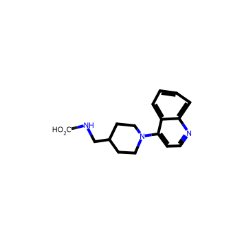 O=C(O)NCC1CCN(c2ccnc3ccccc23)CC1